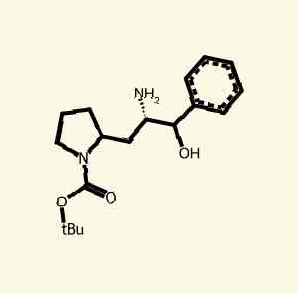 CC(C)(C)OC(=O)N1CCCC1C[C@H](N)C(O)c1ccccc1